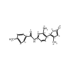 Cc1ccc(C(=O)Nc2ccc(-c3sc(Cl)cc3C)c(N)n2)cc1